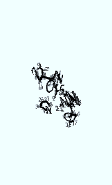 Cc1cc(-c2nnc(C(C)Sc3nnc(-c4ccco4)n3C)o2)ccn1.c1ccncc1